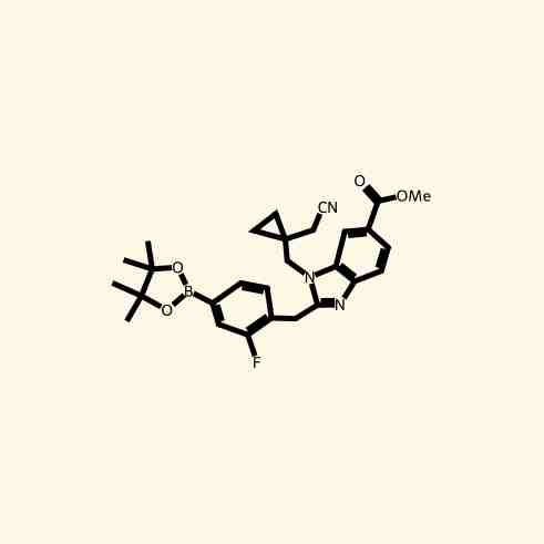 COC(=O)c1ccc2nc(Cc3ccc(B4OC(C)(C)C(C)(C)O4)cc3F)n(CC3(CC#N)CC3)c2c1